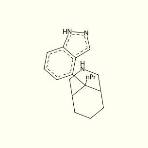 CCCC1(c2cccc3[nH]ncc23)C2CCCC1CNC2